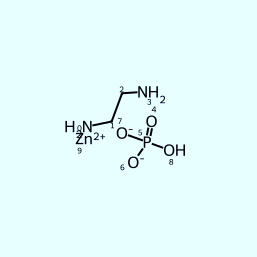 NCCN.O=P([O-])([O-])O.[Zn+2]